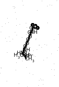 C/C=C(\CCC)CN[C@H](C)NC(=O)CNCCOCCOCCOCCOCCC(=O)NCCC(=O)N1Cc2ccccc2C#Cc2ccccc21